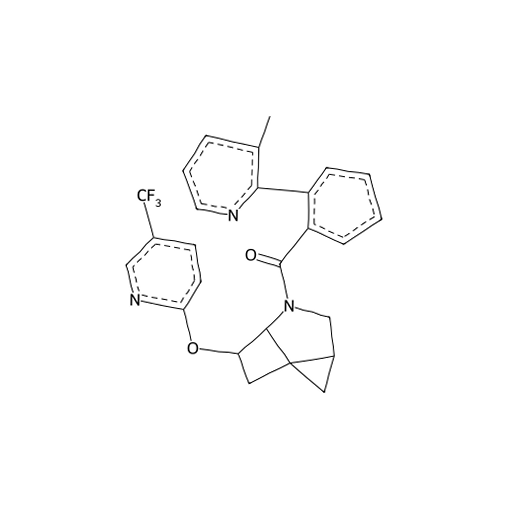 Cc1cccnc1-c1ccccc1C(=O)N1CC2CC23CC(Oc2ccc(C(F)(F)F)cn2)C13